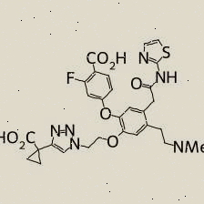 CNCCc1cc(OCCn2cc(C3(C(=O)O)CC3)nn2)c(Oc2ccc(C(=O)O)c(F)c2)cc1CC(=O)Nc1nccs1